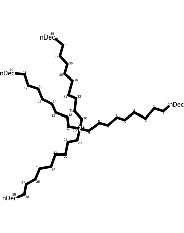 CCCCCCCCCCCCCCCCCCC[N+](CCCCCCCCCCCCCCCCCC)(CCCCCCCCCCCCCCCCCCC)CCCCCCCCCCCCCCCCCCC